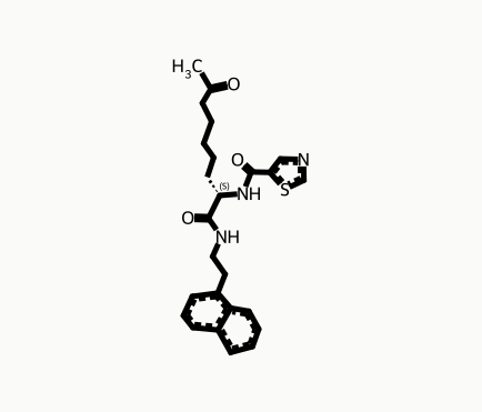 CC(=O)CCCCC[C@H](NC(=O)c1cncs1)C(=O)NCCc1cccc2ccccc12